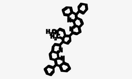 C=N/C=C\c1c(-c2ccc3ccc4c(-c5ccccc5)c5ccccc5nc4c3n2)ccc(-c2ccc3ccc4c(-c5ccccc5)c5ccccc5nc4c3n2)c1C